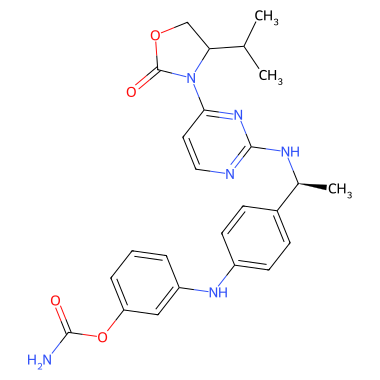 CC(C)C1COC(=O)N1c1ccnc(N[C@@H](C)c2ccc(Nc3cccc(OC(N)=O)c3)cc2)n1